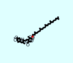 CC[C@@]1(OC(=O)CC/C(C)=C/CC/C(C)=C/CC/C(C)=C/CC/C(C)=C/CCC=C(C)C)C(=O)OCc2c1cc1n(c2=O)Cc2cc3cc4c(cc3nc2-1)OCO4